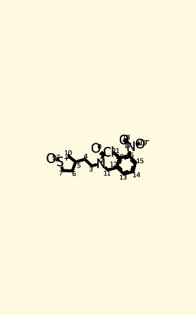 O=CN(CCC1CC[S+]([O-])C1)Cc1cccc([N+](=O)[O-])c1Cl